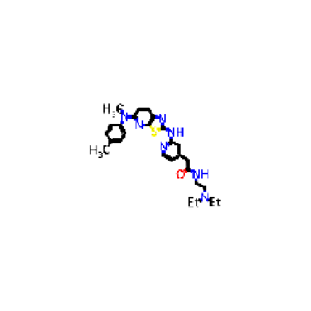 CCN(CC)CCNC(=O)Cc1ccnc(Nc2nc3ccc(N(C)c4ccc(C)cc4)nc3s2)c1